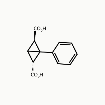 O=C(O)[C@@H]1C2[C@@H](C(=O)O)C21c1ccccc1